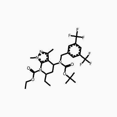 CCOC(=O)N1c2c(c(C)nn2C)C(N(Cc2cc(C(F)(F)F)cc(C(F)(F)F)c2)C(=O)OC(C)(C)C)CC1CC